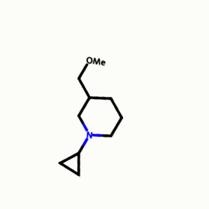 COCC1CCCN(C2CC2)C1